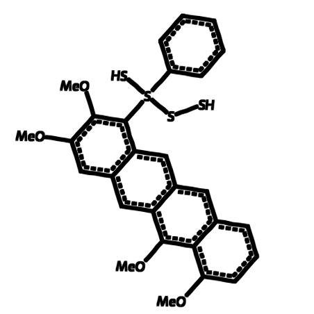 COc1cc2cc3c(OC)c4c(OC)cccc4cc3cc2c(S(S)(SS)c2ccccc2)c1OC